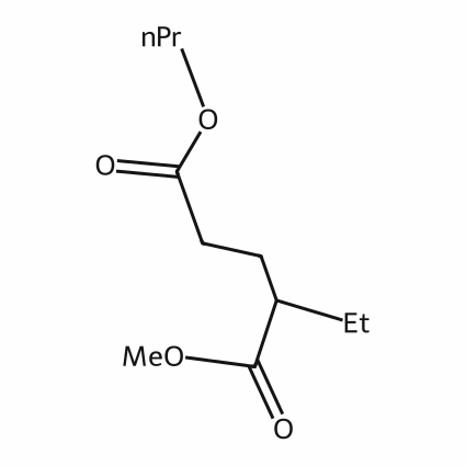 [CH2]CC(CCC(=O)OCCC)C(=O)OC